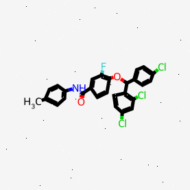 Cc1ccc(NC(=O)c2ccc(OC(c3ccc(Cl)cc3)c3ccc(Cl)cc3Cl)c(F)c2)cc1